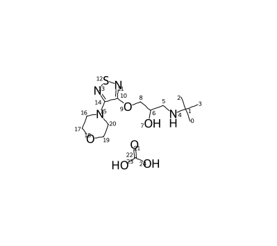 CC(C)(C)NCC(O)COc1nsnc1N1CCOCC1.O=C(O)O